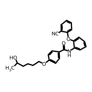 CC(O)CCCCOc1ccc(C(=O)Nc2ccccc2Oc2ccccc2C#N)cc1